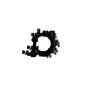 COc1ccc(C[C@@H]2NC(=O)/C(C)=C/[C@H]3CSC(=N3)[C@@H](C)[C@@H](O)C[C@H](C)C[C@@H](C(C)(C)C)OC(=O)[C@H](C)N(C)C(=O)[C@H](C)N(C)C(=O)[C@H](C)N(C)C2=O)cc1